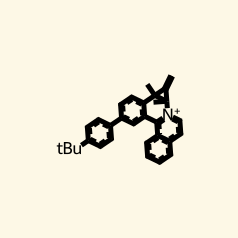 C=C1C2(C)c3ccc(-c4ccc(C(C)(C)C)cc4)cc3-c3c4ccccc4cc[n+]3C12C